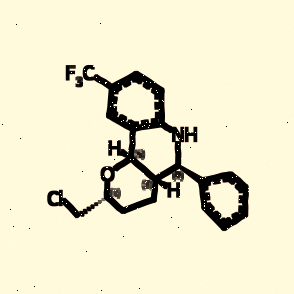 FC(F)(F)c1ccc2c(c1)[C@H]1O[C@@H](CCl)CC[C@H]1[C@H](c1ccccc1)N2